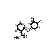 Cc1ccc(Oc2ncccc2C(=O)O)cc1C